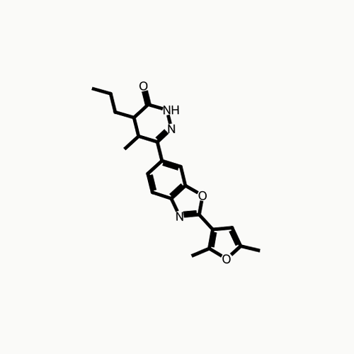 CCCC1C(=O)NN=C(c2ccc3nc(-c4cc(C)oc4C)oc3c2)C1C